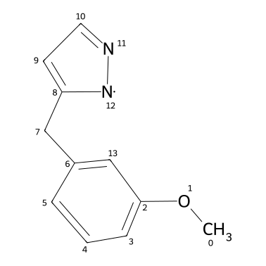 COc1cccc(CC2=CC=N[N]2)c1